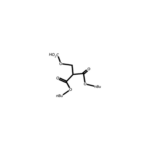 CCCCOC(=O)C(COC(=O)O)C(=O)OCCCC